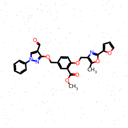 COC(=O)c1cc(COc2nn(-c3ccccc3)cc2C=O)ccc1OCc1nc(-c2ccco2)oc1C